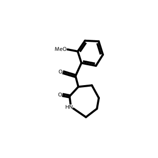 COc1ccccc1C(=O)C1CCCCNC1=O